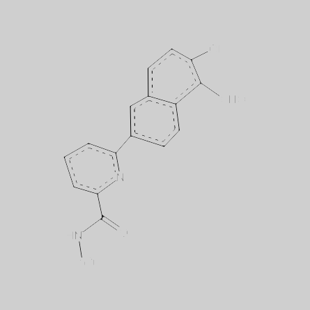 CCCNC(=O)c1cccc(-c2ccc3c(C=O)c(O)ccc3c2)n1